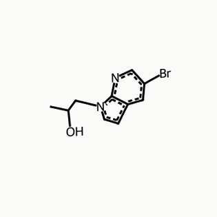 CC(O)Cn1ccc2cc(Br)cnc21